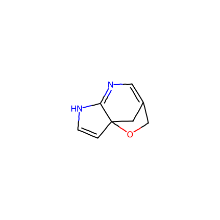 C1=CC23CC(=CN=C2N1)CO3